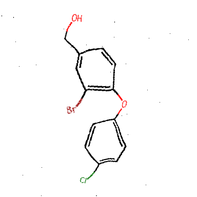 OCc1ccc(Oc2ccc(Cl)cc2)c(Br)c1